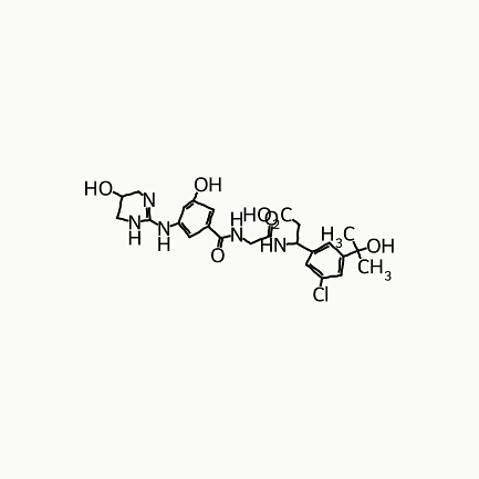 CC(C)(O)c1cc(Cl)cc(C(CC(=O)O)NC(=O)CNC(=O)c2cc(O)cc(NC3=NCC(O)CN3)c2)c1